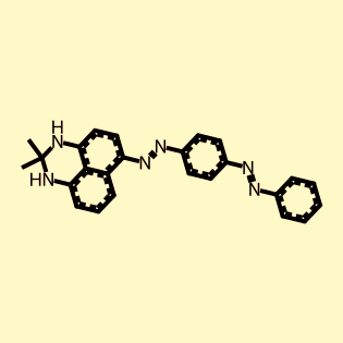 CC1(C)Nc2cccc3c(N=Nc4ccc(N=Nc5ccccc5)cc4)ccc(c23)N1